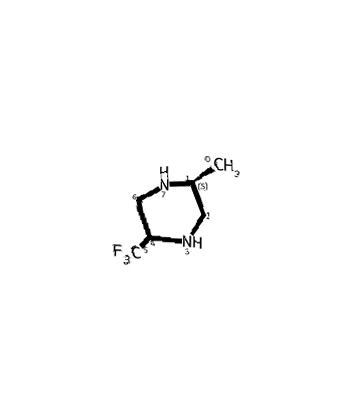 C[C@H]1CNC(C(F)(F)F)CN1